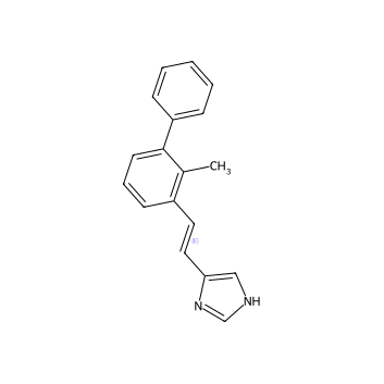 Cc1c(/C=C/c2c[nH]cn2)cccc1-c1ccccc1